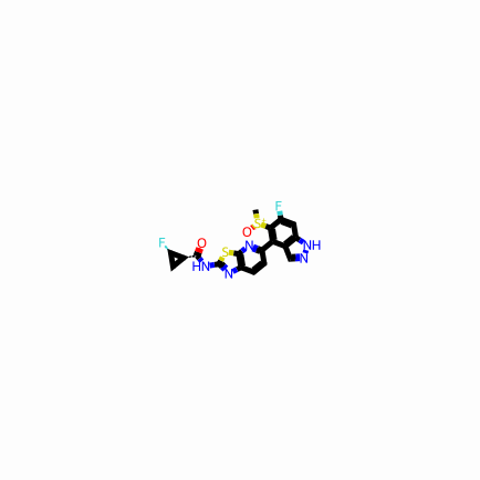 C[S+]([O-])c1c(F)cc2[nH]ncc2c1-c1ccc2nc(NC(=O)[C@@H]3C[C@@H]3F)sc2n1